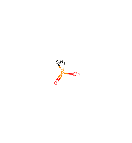 O=[PH](O)[SiH3]